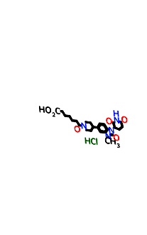 Cl.Cn1c(=O)n(C2CCC(=O)NC2=O)c2ccc(C3CCN(C(=O)CCCCCC(=O)O)CC3)cc21